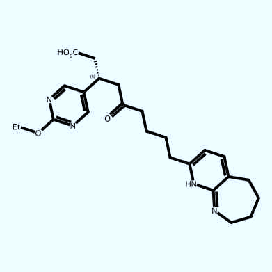 CCOc1ncc([C@H](CC(=O)O)CC(=O)CCCCC2=CC=C3CCCCN=C3N2)cn1